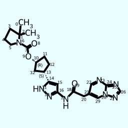 CC1(C)CCCN1C(=O)O[C@@H]1CC[C@H](c2cc(NC(=O)Cc3cnc4ncnn4c3)n[nH]2)C1